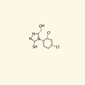 OCc1nnc(S)n1-c1ccc(Cl)cc1Cl